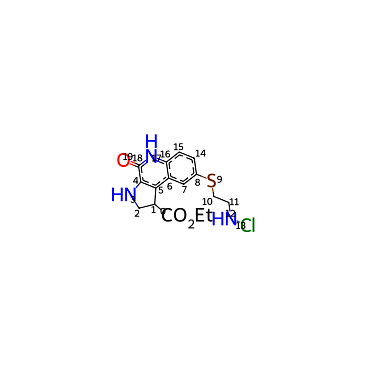 CCOC(=O)C1CNc2c1c1cc(SCCNCl)ccc1[nH]c2=O